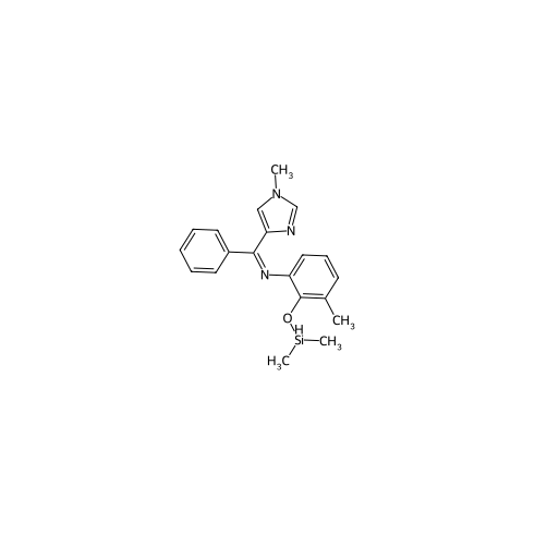 Cc1cccc(N=C(c2ccccc2)c2cn(C)cn2)c1O[SiH](C)C